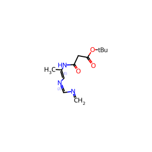 C=N/C=N\C=C(/C)NC(=O)CC(=O)OC(C)(C)C